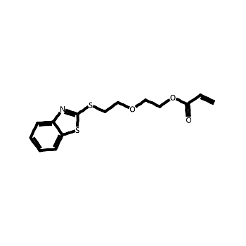 C=CC(=O)OCCOCCSc1nc2ccccc2s1